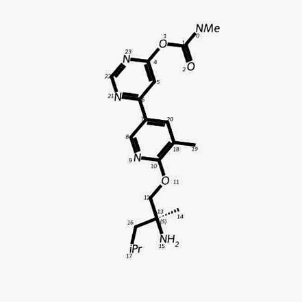 CNC(=O)Oc1cc(-c2cnc(OC[C@@](C)(N)CC(C)C)c(C)c2)ncn1